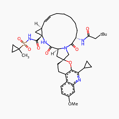 COc1ccc2c3c(c(C4CC4)nc2c1)O[C@]1(CC3)C[C@H]2C(=O)N[C@]3(C(=O)NS(=O)(=O)C4(C)CC4)C[C@H]3/C=C\CCCCC[C@H](NC(=O)CC(C)(C)C)C(=O)N2C1